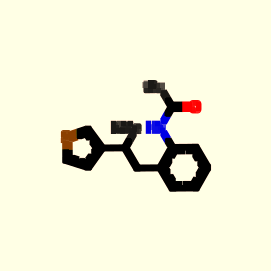 CNC(Cc1ccccc1NC(=O)C(C)(C)C)c1ccsc1